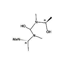 CN[C@@H](C)N(C)C(O)N(C)[C@@H](C)O